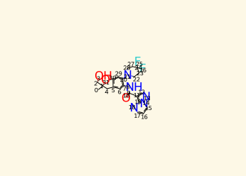 CC1(CO)Cc2cc(NC(=O)c3cnn4cccnc34)c(N3CCC(F)(F)CC3)cc2O1